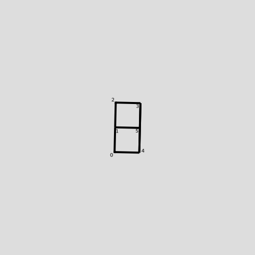 C1C2CC3C1C23